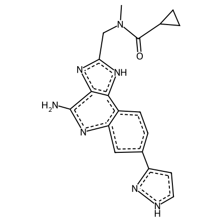 CN(Cc1nc2c(N)nc3cc(-c4cc[nH]n4)ccc3c2[nH]1)C(=O)C1CC1